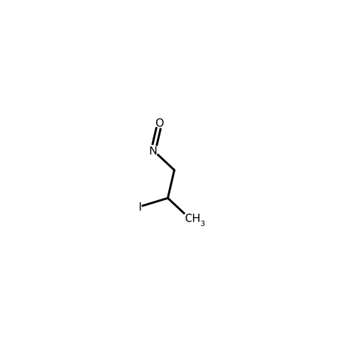 CC(I)CN=O